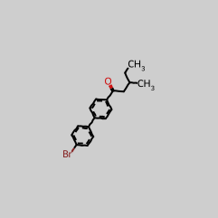 CCC(C)CC(=O)c1ccc(-c2ccc(Br)cc2)cc1